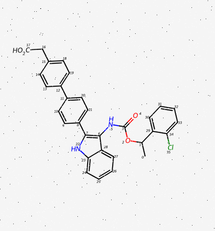 CC(OC(=O)Nc1c(-c2ccc(-c3ccc(CC(=O)O)cc3)cc2)[nH]c2ccccc12)c1ccccc1Cl